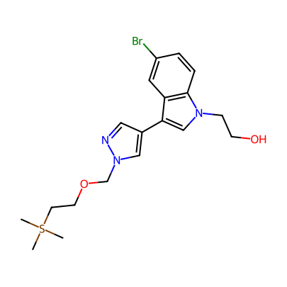 CS(C)(C)CCOCn1cc(-c2cn(CCO)c3ccc(Br)cc23)cn1